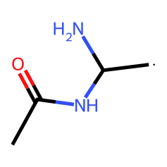 [CH2]C(N)NC(C)=O